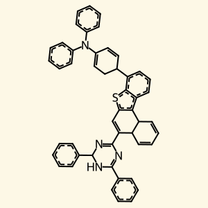 C1=CC2C(C3=NC(c4ccccc4)NC(c4ccccc4)=N3)=Cc3sc4c(C5C=CC(N(c6ccccc6)c6ccccc6)=CC5)cccc4c3C2C=C1